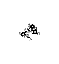 COCCOc1ncc(F)cc1C(=O)N[C@H]1N=C(c2c(Cl)cc(Cl)cc2Cl)c2ccccc2NC1=O